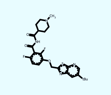 CN1CCC(C(=O)NC(=O)c2c(F)ccc(OCc3nc4cc(C(C)(C)C)cnc4s3)c2F)CC1